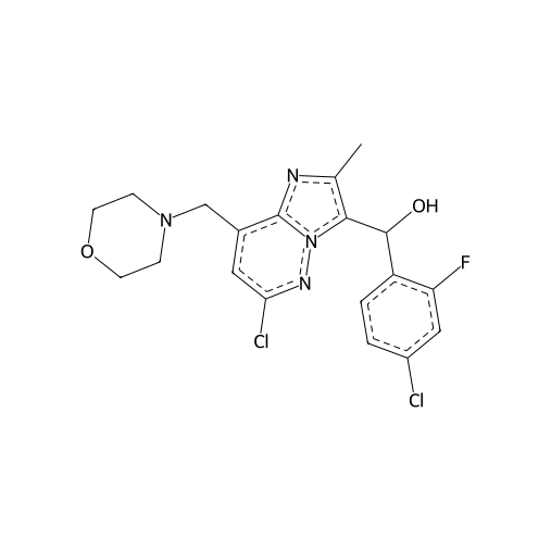 Cc1nc2c(CN3CCOCC3)cc(Cl)nn2c1C(O)c1ccc(Cl)cc1F